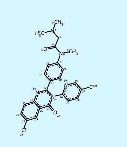 CN(C)CC(=O)N(C)c1ccc(-c2nc3ccc(Cl)cc3c(=O)n2-c2ccc(Cl)cn2)cc1